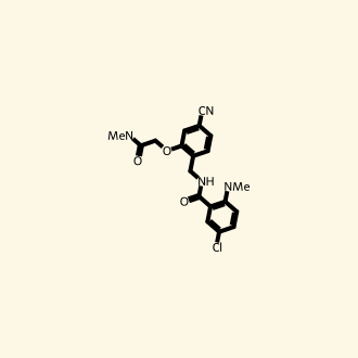 CNC(=O)COc1cc(C#N)ccc1CNC(=O)c1cc(Cl)ccc1NC